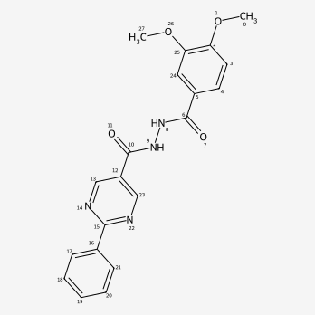 COc1ccc(C(=O)NNC(=O)c2cnc(-c3ccccc3)nc2)cc1OC